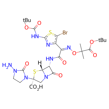 CC(C)(C)OC(=O)Nc1nc(/C(=N/OC(C)(C)C(=O)OC(C)(C)C)C(=O)N[C@@H]2C(=O)N3C[C@@](C(=O)O)(N4CCN(N)C4=O)S[C@H]23)c(Br)s1